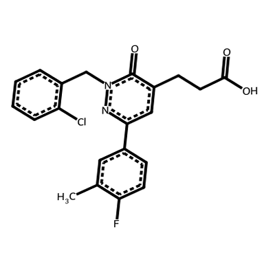 Cc1cc(-c2cc(CCC(=O)O)c(=O)n(Cc3ccccc3Cl)n2)ccc1F